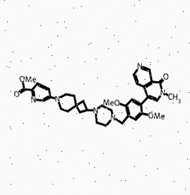 COC(=O)c1ccc(N2CCC3(CC2)CC(N2CCN(Cc4cc(OC)c(-c5cn(C)c(=O)c6cnccc56)cc4OC)CC2)C3)cn1